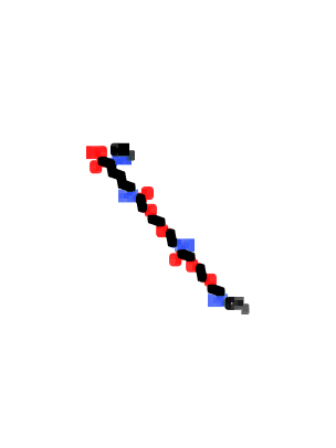 CNCCOCCOCC(=O)NCCOCCOCC(=O)NCCCCC(NC)C(=O)O